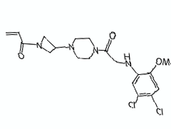 C=CC(=O)N1CC(N2CCN(C(=O)CNc3cc(Cl)c(Cl)cc3OC)CC2)C1